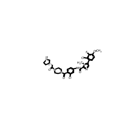 COc1ccc(-c2cnc(C(=O)Nc3ccc(C(=O)N4CCN(C(=O)C[C@@H]5CCNC5)CC4)c(Cl)c3)n2C)c(Cl)c1F